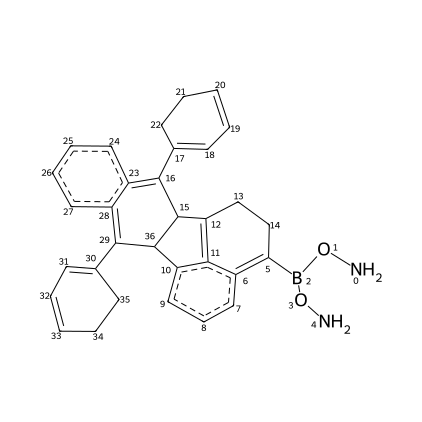 NOB(ON)C1=c2cccc3c2=C(CC1)C1C(C2=CC=CCC2)=c2ccccc2=C(C2=CC=CCC2)C31